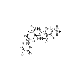 Cc1c([C@@H](C)Nc2nnc(C)c3ncc(N4CCN(C)C(=O)C4)cc23)cccc1C(F)(F)F